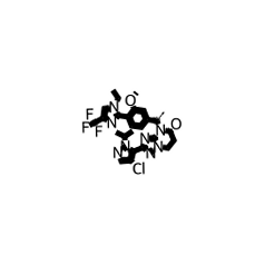 CCn1cc(C(F)(F)F)nc1-c1ccc([C@H](C)N2C(=O)CCn3nc(-c4c(Cl)cnn4C(C)C)nc32)cc1OC